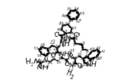 CCCCC(=O)N[C@]1(C(=O)N[C@H](Cc2ccccc2)C(=O)N[C@@H](CCCNC(=N)N)C(=O)N(C)[C@@H](Cc2c[nH]c3ccccc23)C(N)=O)CC[C@H](c2ccccc2)CC1